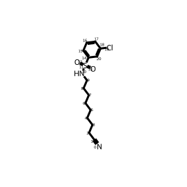 N#CCCCCCCCCNS(=O)(=O)c1cccc(Cl)c1